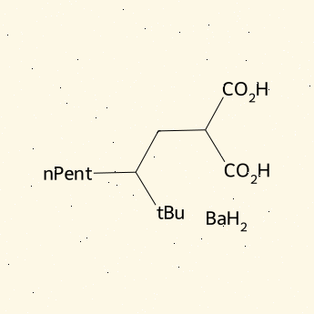 CCCCCC(CC(C(=O)O)C(=O)O)C(C)(C)C.[BaH2]